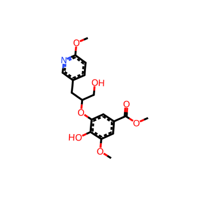 COC(=O)c1cc(OC)c(O)c(OC(CO)Cc2ccc(OC)nc2)c1